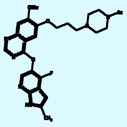 COc1cc2ncnc(Oc3cnc4[nH]c(C)cc4c3F)c2cc1OCCCN1CCN(C(C)=O)CC1